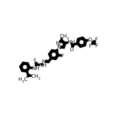 Cc1nn(-c2ccc(/C=N/NC(=S)Nc3ccccc3C(C)C)cc2F)cc1NC(=O)c1ccc(OC(F)(F)F)cc1